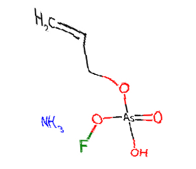 C=CCO[As](=O)(O)OF.N